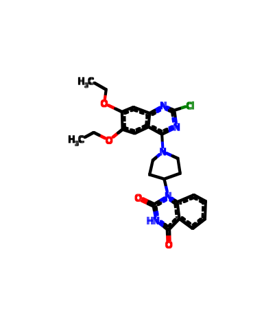 CCOc1cc2nc(Cl)nc(N3CCC(n4c(=O)[nH]c(=O)c5ccccc54)CC3)c2cc1OCC